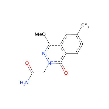 COc1nn(CC(N)=O)c(=O)c2ccc(C(F)(F)F)cc12